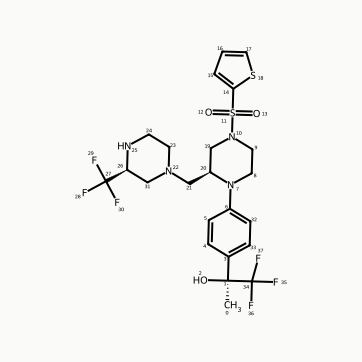 C[C@](O)(c1ccc(N2CCN(S(=O)(=O)c3cccs3)C[C@@H]2CN2CCN[C@H](C(F)(F)F)C2)cc1)C(F)(F)F